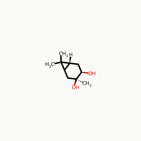 CC1(C)C2C[C@](C)(O)[C@H](O)C[C@H]21